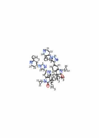 Cc1cc(-n2cnc(-c3cc4c(cn3)C(C)(C)C(=O)N4C3CC3)c2)ccn1.Cc1cnccc1-n1cnc(-c2ccc3c(c2)N(C2CC2)C(=O)C3(C)C)c1